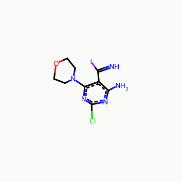 N=C(I)c1c(N)nc(Cl)nc1N1CCOCC1